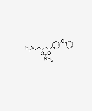 NCCCCC(OC(N)=O)c1ccc(Oc2ccccc2)cc1